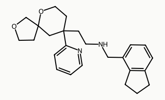 c1ccc(C2(CCNCc3cccc4c3CCC4)CCOC3(CCOC3)C2)nc1